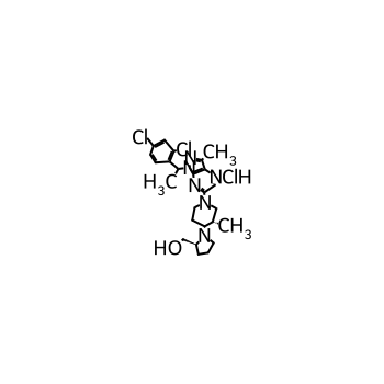 Cc1nn(C(C)c2ccc(Cl)cc2Cl)c2nc(N3CC[C@@H](N4CCC[C@H]4CO)[C@@H](C)C3)cnc12.Cl